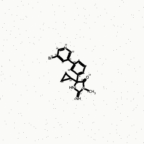 CN1C(=N)NC(c2cccc(-c3cncc(Br)c3)c2)(C2CC2)C1=O